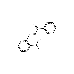 O=C(/C=C/c1ccccc1C(O)O)c1ccccc1